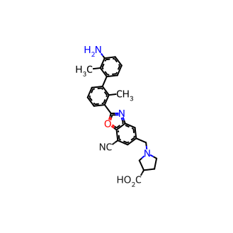 Cc1c(N)cccc1-c1cccc(-c2nc3cc(CN4CCC(C(=O)O)C4)cc(C#N)c3o2)c1C